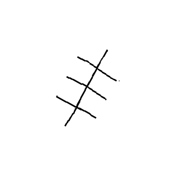 [CH2]C(C)(C)C(C)(C)C(C)(C)C